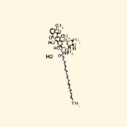 CC/C=C/C/C=C/C/C=C/C/C=C/C/C=C/C/C=C/CCC(=O)N/N=C(\CO)[C@]1(O)Cc2c(O)c3c(c(O)c2[C@@H](OC2C[C@H](N)[C@H](O)[C@H](C)O2)C1)C(=O)c1c(OC)cccc1C3=O.Cl